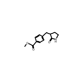 COC(=O)c1ccc(CC2CCNC2=O)cc1